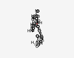 COc1cc(CN2CCN(C3CC4(CCN(c5ccc(C(=O)NS(=O)(=O)c6cc7c(c([N+](=O)[O-])c6)N[C@@H](Cc6ccccn6)CO7)c(N6c7cc8cc[nH]c8nc7O[C@H]7COCC[C@@H]76)c5)CC4)C3)[C@H](c3ccccc3C)C2)cnc1N1CCOCC1